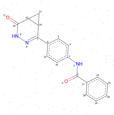 O=C(Nc1ccc(C2=NNC(=O)C3CC23)cc1)c1ccccc1